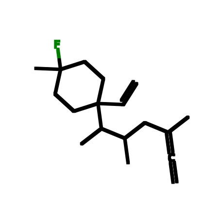 C=C=C(C)CC(C)C(C)C1(C=C)CCC(C)(F)CC1